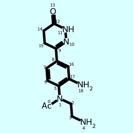 CC(=O)N(CCN)c1ccc(C2=NNC(=O)CC2)cc1N